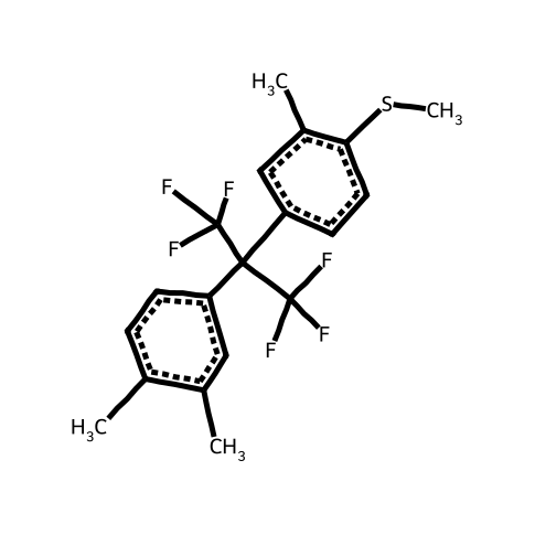 CSc1ccc(C(c2ccc(C)c(C)c2)(C(F)(F)F)C(F)(F)F)cc1C